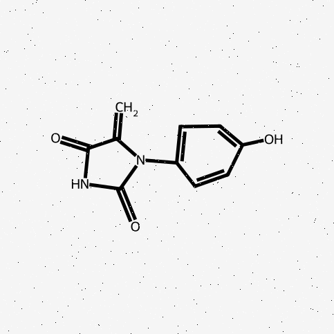 C=C1C(=O)NC(=O)N1c1ccc(O)cc1